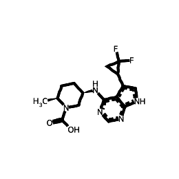 C[C@H]1CC[C@@H](Nc2ncnc3[nH]cc(C4CC4(F)F)c23)CN1C(=O)O